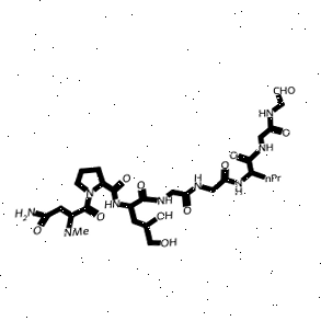 CCCC(NC(=O)CNC(=O)CNC(=O)C(CC(O)CO)NC(=O)C1CCCN1C(=O)C(CC(N)=O)NC)C(=O)NCC(=O)NCC=O